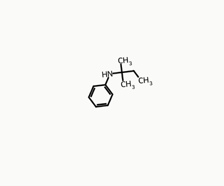 CCC(C)(C)Nc1ccccc1